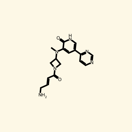 CN(c1cc(-c2ccncn2)c[nH]c1=O)C1CN(C(=O)C=CCN)C1